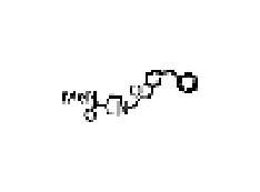 CNC(=O)C1CCN(CC2Cc3cc(Cc4ccccc4)ccc3O2)CC1